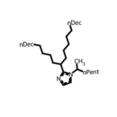 CCCCCCCCCCCCCCCC(CCCCCCCCCCCCCC)c1nccn1C(C)CCCCC